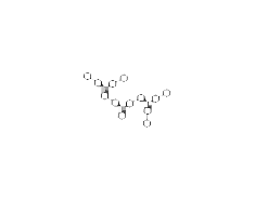 c1ccc(-c2ccc(N(c3ccc(-c4ccccc4)cc3)c3cccc(-c4ccc(N(c5ccccc5)c5ccc(-c6cccc(N(c7ccc(-c8ccccc8)cc7)c7ccc(-c8ccccc8)cc7)c6)cc5)cc4)c3)cc2)cc1